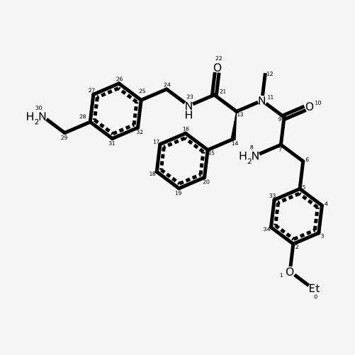 CCOc1ccc(CC(N)C(=O)N(C)[C@@H](Cc2ccccc2)C(=O)NCc2ccc(CN)cc2)cc1